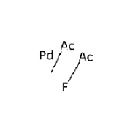 CC(=O)F.CC(C)=O.[Pd]